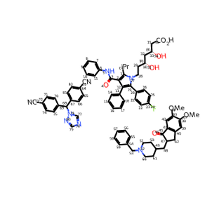 CC(C)c1c(C(=O)Nc2ccccc2)c(-c2ccccc2)c(-c2ccc(F)cc2)n1CC[C@@H](O)C[C@@H](O)CC(=O)O.COc1cc2c(cc1OC)C(=O)C(CC1CCN(Cc3ccccc3)CC1)C2.N#Cc1ccc(C(c2ccc(C#N)cc2)n2cncn2)cc1